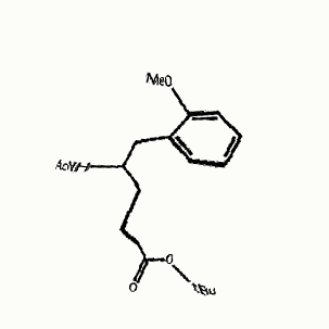 COc1ccccc1CC(CCC(=O)OC(C)(C)C)NC(C)=O